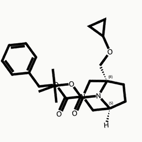 CC(C)(C)OC(=O)N1[C@H]2CC[C@]1(COC1CC1)CN(C(=O)OCc1ccccc1)C2